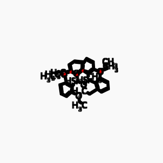 CCOc1cccc(CC)c1[SiH](O[SiH](c1c(CC)cccc1OCC)c1c(CC)cccc1OCC)c1c(CC)cccc1OCC